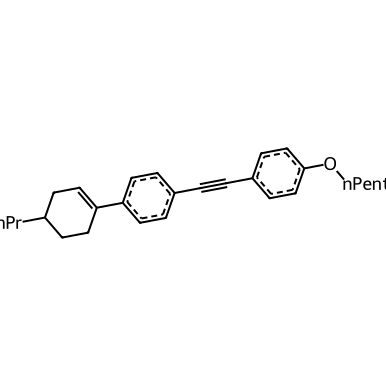 CCCCCOc1ccc(C#Cc2ccc(C3=CCC(CCC)CC3)cc2)cc1